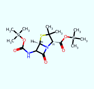 CC1(C)S[C@@H]2C(NC(=O)O[Si](C)(C)C)C(=O)N2[C@H]1C(=O)O[Si](C)(C)C